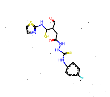 O=CC(CC(=O)NNC(=S)Nc1ccc(F)cc1)C(S)Nc1nccs1